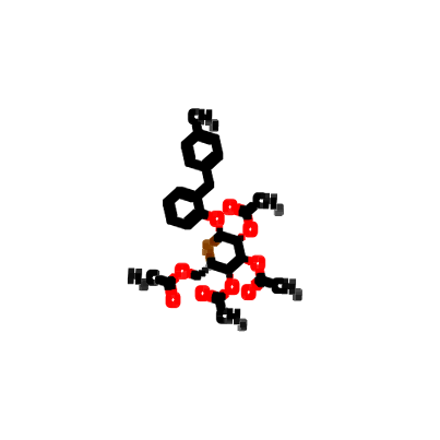 CC(=O)OC[C@@H]1S[C@H](Oc2ccccc2Cc2ccc(C)cc2)[C@H](OC(C)=O)[C@@H](OC(C)=O)[C@@H]1OC(C)=O